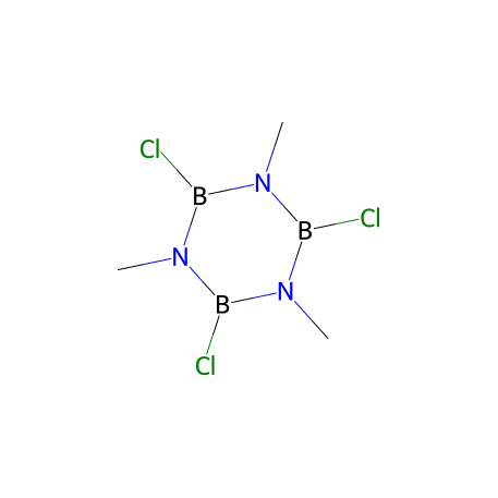 CN1B(Cl)N(C)B(Cl)N(C)B1Cl